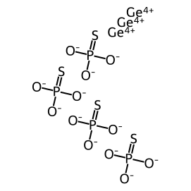 [Ge+4].[Ge+4].[Ge+4].[O-]P([O-])([O-])=S.[O-]P([O-])([O-])=S.[O-]P([O-])([O-])=S.[O-]P([O-])([O-])=S